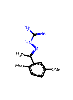 COc1ccc(OC)c(/C(C)=N/NC(=N)N)c1